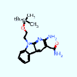 CC(C)(C)[Si](C)(C)OCCn1c2ccccc2c2cc(C(N)=O)c(N)nc21